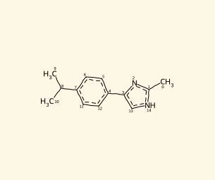 Cc1nc(-c2ccc(C(C)C)cc2)c[nH]1